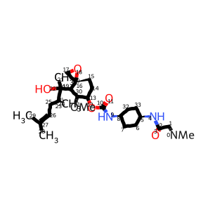 CNCC(=O)N[C@H]1CC[C@@H](NC(=O)OC2CC[C@]3(CO3)C(C(C)(O)[C@H](C)CC=C(C)C)C2OC)CC1